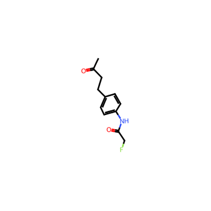 CC(=O)CCc1ccc(NC(=O)CF)cc1